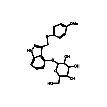 COc1ccc(SCc2n[nH]c3cccc(OC4OC(CO)C(O)C(O)C4O)c23)cc1